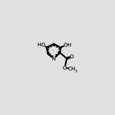 COC(=O)c1ncc(O)cc1O